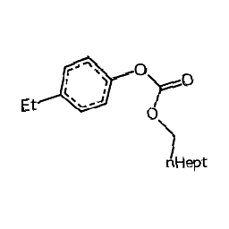 CCCCCCCCOC(=O)Oc1ccc(CC)cc1